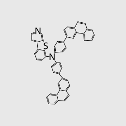 c1ccc2c(c1)ccc1ccc(-c3ccc(N(c4ccc(-c5ccc6ccc7ccccc7c6c5)cc4)c4cccc5c4sc4cnccc45)cc3)cc12